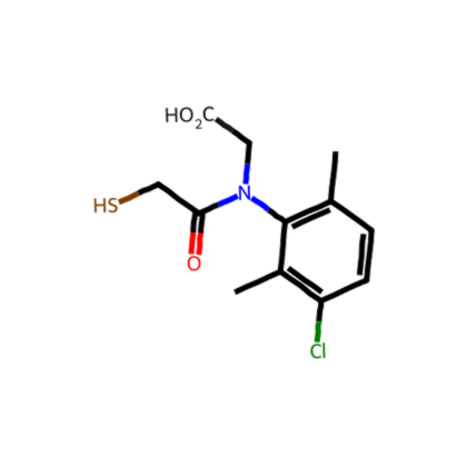 Cc1ccc(Cl)c(C)c1N(CC(=O)O)C(=O)CS